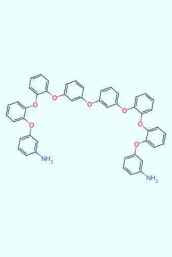 Nc1cccc(Oc2ccccc2Oc2ccccc2Oc2cccc(Oc3cccc(Oc4ccccc4Oc4ccccc4Oc4cccc(N)c4)c3)c2)c1